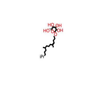 CC(=CCCCOC1O[C@H](CO)[C@@H](O)[C@H](O)[C@H]1O)CCCC(C)CCCC(C)C